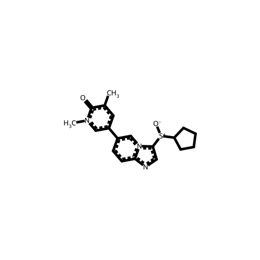 Cc1cc(-c2ccc3ncc([S+]([O-])C4CCCC4)n3c2)cn(C)c1=O